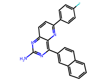 Nc1nc(-c2ccc3ccccc3c2)c2nc(-c3ccc(F)cc3)ccc2n1